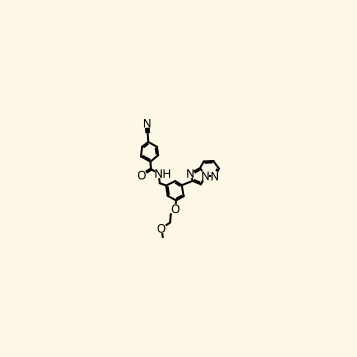 COCCOc1cc(CNC(=O)c2ccc(C#N)cc2)cc(-c2cn3ncccc3n2)c1